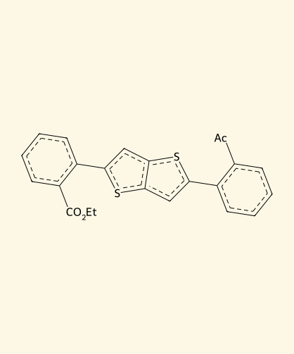 CCOC(=O)c1ccccc1-c1cc2sc(-c3ccccc3C(C)=O)cc2s1